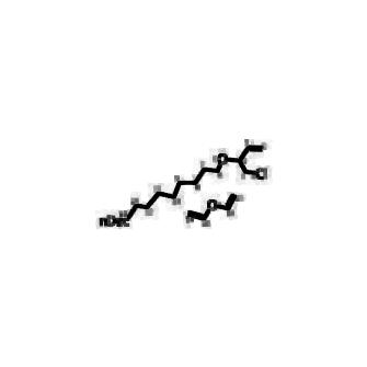 C=CC(CCl)OCCCCCCCCCCCCCCCCCC.C=COC=C